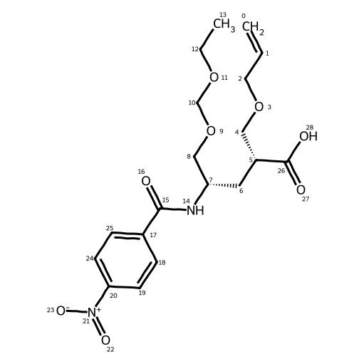 C=CCOC[C@@H](C[C@@H](COCOCC)NC(=O)c1ccc([N+](=O)[O-])cc1)C(=O)O